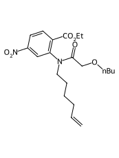 C=CCCCCN(C(=O)COCCCC)c1cc([N+](=O)[O-])ccc1C(=O)OCC